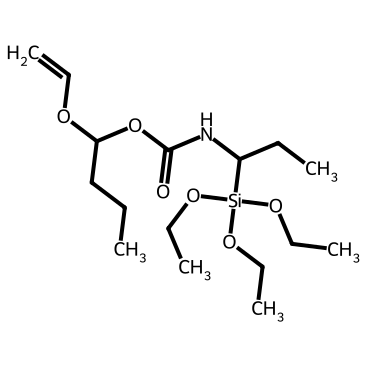 C=COC(CCC)OC(=O)NC(CC)[Si](OCC)(OCC)OCC